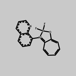 F[B-]1(F)OC2=CC=CC=CC2=[N+]1c1cccc2cccnc12